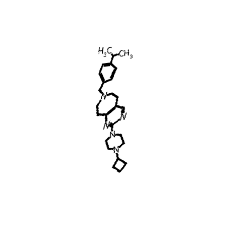 CC(C)c1ccc(CN2CCc3cnc(N4CCN(C5CCC5)CC4)nc3CC2)cc1